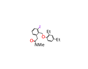 CCc1ccc(OCc2c(I)cccc2CC(=O)NC)c(CC)c1